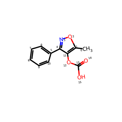 Cc1onc(-c2ccccc2)c1OC(=O)O